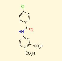 O=C(Nc1ccc(C(=O)O)c(C(=O)O)c1)c1ccc(Cl)cc1